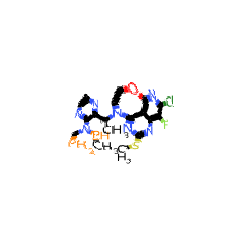 CPN(CP)c1nccnc1[C@@H](C)N1CCOc2nc(Cl)c(F)c3nc(SC)nc1c23